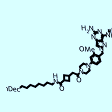 CCCCCCCCCCCCCCCCCCNC(=O)C1CC(CC(=O)N2CCN(c3ccc(Cn4cc5nc(N)nc(NCCCC)c5n4)c(OC)c3)CC2)C1